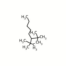 CCCCCC(C(C)(C)C)C(C)(C)C